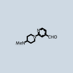 CNC1CCN(c2cc(C=O)ccn2)CC1